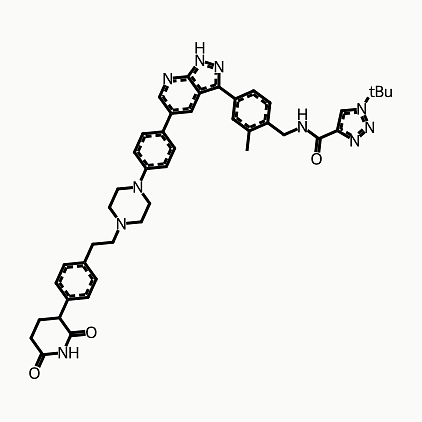 Cc1cc(-c2n[nH]c3ncc(-c4ccc(N5CCN(CCc6ccc(C7CCC(=O)NC7=O)cc6)CC5)cc4)cc23)ccc1CNC(=O)c1cn(C(C)(C)C)nn1